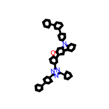 c1ccc(-c2ccc(-c3nc(-c4ccccc4)nc(-c4ccc5oc6cc7c(cc6c5c4)c4ccccc4n7-c4ccc(-c5cccc(-c6ccccc6)c5)cc4)n3)cc2)cc1